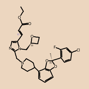 CCOC(=O)/C=C/c1cnc(CN2CCC(c3cccc4c3O[C@@](C)(c3ccc(Cl)cc3F)O4)CC2)n1C[C@@H]1CCO1